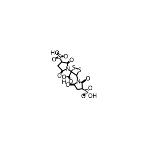 O=C1CC(S(=O)(=O)O)C(=O)N1C1SSC1(C(=O)O)N1C(=O)CC(S(=O)(=O)O)C1=O